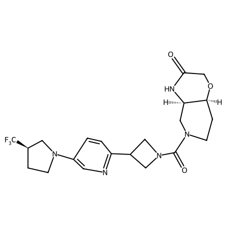 O=C1CO[C@H]2CCN(C(=O)N3CC(c4ccc(N5CC[C@@H](C(F)(F)F)C5)cn4)C3)C[C@H]2N1